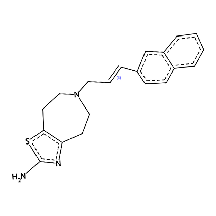 Nc1nc2c(s1)CCN(C/C=C/c1ccc3ccccc3c1)CC2